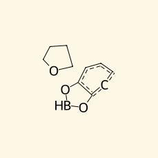 B1Oc2ccccc2O1.C1CCOC1